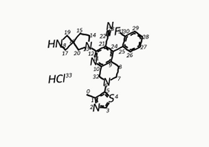 Cc1ncsc1N1CCc2c(nc(N3CCC4(CNC4)C3)c(C#N)c2-c2ccccc2F)C1.Cl